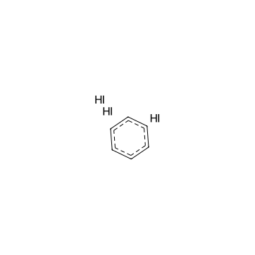 I.I.I.c1ccccc1